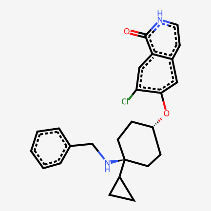 O=c1[nH]ccc2cc(O[C@H]3CC[C@@](NCc4ccccc4)(C4CC4)CC3)c(Cl)cc12